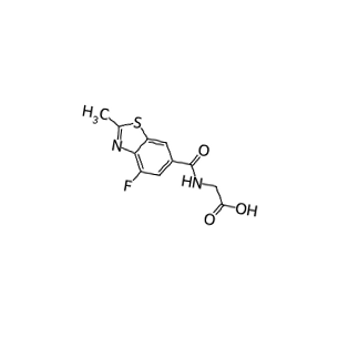 Cc1nc2c(F)cc(C(=O)NCC(=O)O)cc2s1